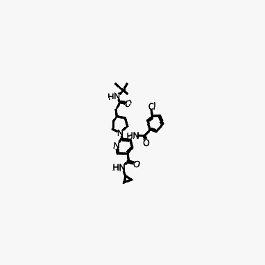 CC(C)(C)NC(=O)CC1CCN(c2ncc(C(=O)NC3CC3)cc2NC(=O)c2cccc(Cl)c2)CC1